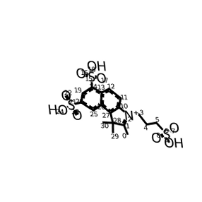 CC1=[N+](CCCS(=O)(=O)O)c2ccc3c(S(=O)(=O)O)cc(S(=O)(=O)O)cc3c2C1(C)C